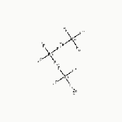 F[B-](F)(F)F.F[B-](F)(F)F.F[B-](F)(F)F.[Zn]